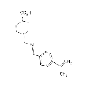 C=C(C)c1ccc(/C=N/CC2CCC(C(=O)O)CC2)cc1